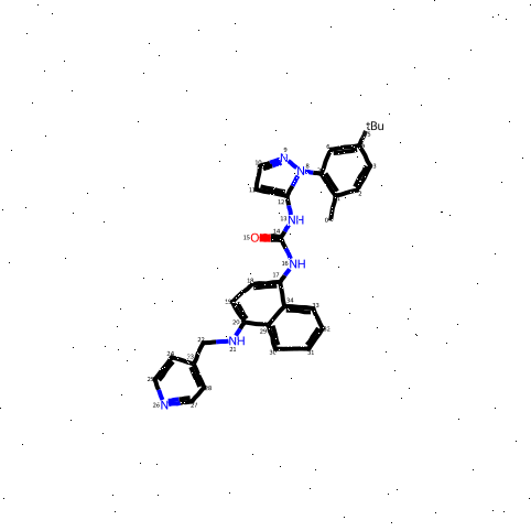 Cc1ccc(C(C)(C)C)cc1-n1nccc1NC(=O)Nc1ccc(NCc2ccncc2)c2ccccc12